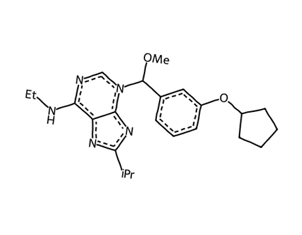 CCNc1ncn(C(OC)c2cccc(OC3CCCC3)c2)c2nc(C(C)C)nc1-2